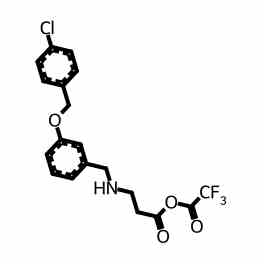 O=C(CCNCc1cccc(OCc2ccc(Cl)cc2)c1)OC(=O)C(F)(F)F